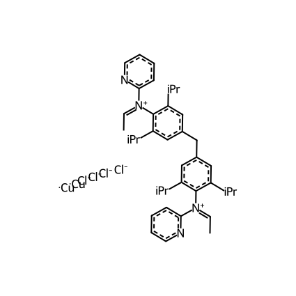 CC=[N+](c1ccccn1)c1c(C(C)C)cc(Cc2cc(C(C)C)c([N+](=CC)c3ccccn3)c(C(C)C)c2)cc1C(C)C.[Cl-].[Cl-].[Cl-].[Cl-].[Cu].[Cu]